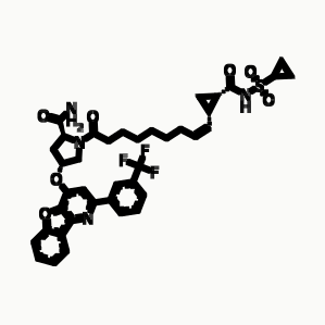 NC(=O)[C@@H]1C[C@@H](Oc2cc(-c3cccc(C(F)(F)F)c3)nc3c2oc2ccccc23)CN1C(=O)CCCCCC/C=C\[C@@H]1C[C@@H]1C(=O)NS(=O)(=O)C1CC1